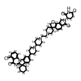 O=C1CC[C@H](N2Cc3c(ccc4c3OCC43CCN(CCN4CCC(N5CCC(c6ccc7c(c6)-n6c(nc(=O)c8c(Cl)cccc86)C76CCCCC6)CC5)CC4)CC3)C2=O)C(=O)N1